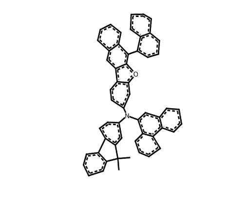 CC1(C)c2ccccc2-c2ccc(N(c3ccc4c(c3)oc3c(-c5cccc6ccccc56)c5ccccc5cc34)c3cc4ccccc4c4ccccc34)cc21